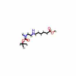 COC(=O)CCCCCNCCN(C)C(=O)OC(C)(C)C